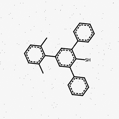 Cc1cccc(C)c1-c1cc(-c2ccccc2)c(S)c(-c2ccccc2)c1